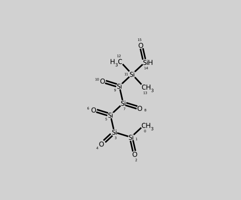 C[Si](=O)[Si](=O)[Si](=O)[Si](=O)[Si](=O)[Si](C)(C)[SiH]=O